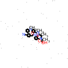 CC(CO)N1C[C@@H](C)[C@@H](CN(C)Cc2ccc(N(C)c3ccccc3)cc2)Oc2c(NC(=O)Cc3ccc(C#N)cc3)cccc2C1=O